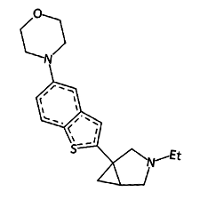 CCN1CC2CC2(c2cc3cc(N4CCOCC4)ccc3s2)C1